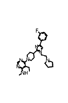 CCc1c(NC)ncnc1N1CCC(c2nc(-c3cccc(F)c3)cn2CCN2CCCC2)CC1